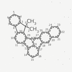 CC1(C)c2ccccc2-c2ccc3c4cccc5c6cc7ccccc7cc6n(c3c21)c54